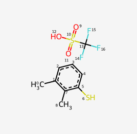 Cc1cccc(S)c1C.O=S(=O)(O)C(F)(F)F